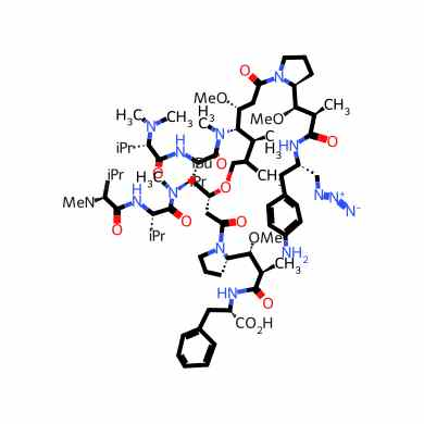 CC[C@H](C)[C@@H]([C@@H](CC(=O)N1CCC[C@H]1[C@H](OC)[C@@H](C)C(=O)N[C@@H](Cc1ccccc1)C(=O)O)OCC(C)[C@H](C)[C@@H]([C@@H](CC(=O)N1CCC[C@H]1[C@H](OC)[C@@H](C)C(=O)N[C@H](CN=[N+]=[N-])Cc1ccc(N)cc1)OC)N(C)C(=O)[C@@H](NC(=O)[C@H](C(C)C)N(C)C)C(C)C)N(C)C(=O)[C@@H](NC(=O)[C@@H](NC)C(C)C)C(C)C